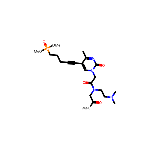 COC(=O)CN(CCN(C)C)C(=O)Cn1cc(C#CCCCP(=O)(OC)OC)c(C)nc1=O